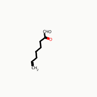 C=CCCCCC(=O)C=O